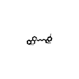 OCC1C(c2ccccc2)CCCN1CCCCc1c[nH]c2ccc(F)cc12